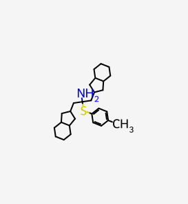 Cc1ccc(SC(N)(CC2CC3CCCCC3C2)CC2CC3CCCCC3C2)cc1